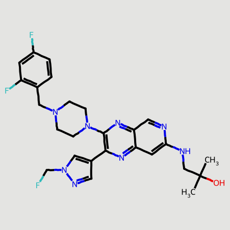 CC(C)(O)CNc1cc2nc(-c3cnn(CF)c3)c(N3CCN(Cc4ccc(F)cc4F)CC3)nc2cn1